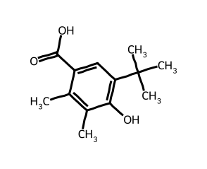 Cc1c(C(=O)O)cc(C(C)(C)C)c(O)c1C